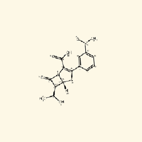 CC(O)[C@H]1C(=O)N2C(C(=O)O)=C(c3cccc([S+](C)[O-])c3)S[C@H]12